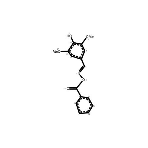 COc1cc(/C=N/OC(=O)c2ccccc2)cc(OC)c1O